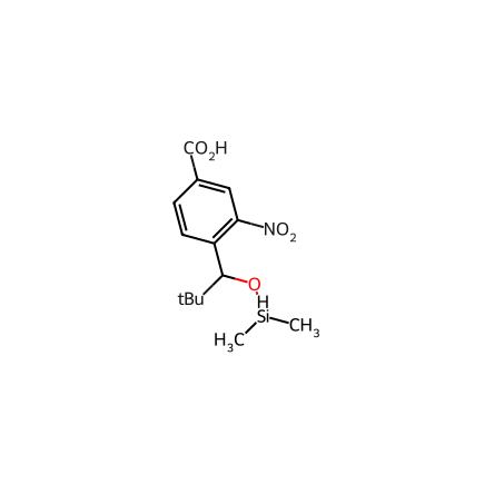 C[SiH](C)OC(c1ccc(C(=O)O)cc1[N+](=O)[O-])C(C)(C)C